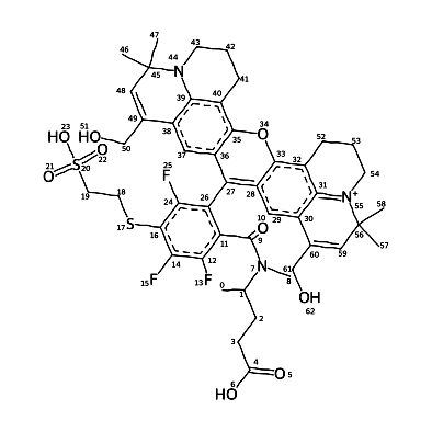 CC(CCC(=O)O)N(C)C(=O)c1c(F)c(F)c(SCCS(=O)(=O)O)c(F)c1C1=c2cc3c4c(c2Oc2c1cc1c5c2CCCN5C(C)(C)C=C1CO)CCC[N+]=4C(C)(C)C=C3CO